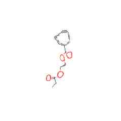 CCC(=O)OCCOC(=O)c1ccccc1